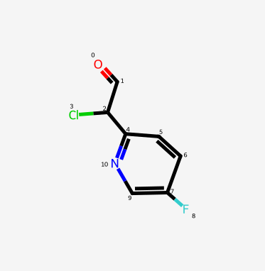 O=CC(Cl)c1ccc(F)cn1